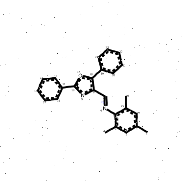 Cc1cc(C)c(/N=C/c2nc(-c3ccccc3)oc2-c2ccccc2)c(C)c1